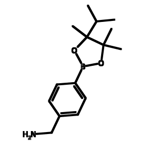 CC(C)C1(C)OB(c2ccc(CN)cc2)OC1(C)C